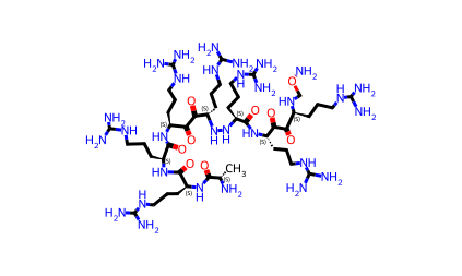 C[C@H](N)C(=O)N[C@@H](CCCNC(N)N)C(=O)N[C@@H](CCCNC(N)N)C(=O)N[C@@H](CCCNC(N)N)C(=O)C(=O)[C@H](CCCNC(N)N)NN[C@@H](CCCNC(N)N)C(=O)N[C@@H](CCCNC(N)N)C(=O)C(=O)[C@H](CCCNC(N)N)NCON